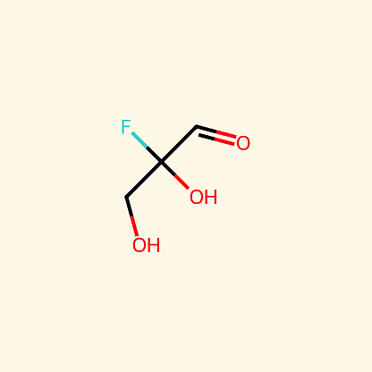 O=CC(O)(F)CO